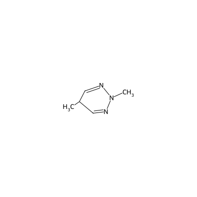 CC1C=NN(C)N=C1